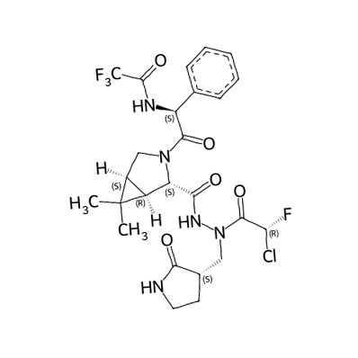 CC1(C)[C@@H]2[C@@H](C(=O)NN(C[C@@H]3CCNC3=O)C(=O)[C@H](F)Cl)N(C(=O)[C@@H](NC(=O)C(F)(F)F)c3ccccc3)C[C@@H]21